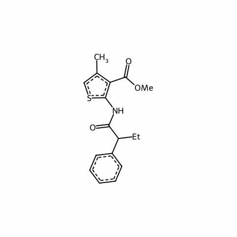 CCC(C(=O)Nc1scc(C)c1C(=O)OC)c1ccccc1